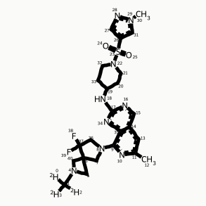 [2H]C([2H])([2H])N1CC2(CN(c3nc(C)cc4cnc(NC5CCN(S(=O)(=O)c6cnn(C)c6)CC5)nc34)CC2(F)F)C1